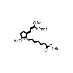 CCCCCC(=CC=C1CC[C@@H](OC(C)=O)[C@@H]1CCCCCCC(=O)OCCCC)OC(C)=O